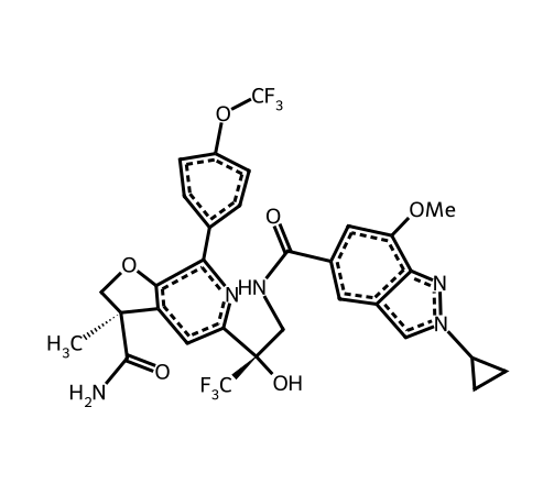 COc1cc(C(=O)NC[C@](O)(c2cc3c(c(-c4ccc(OC(F)(F)F)cc4)n2)OC[C@]3(C)C(N)=O)C(F)(F)F)cc2cn(C3CC3)nc12